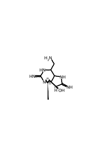 C[C@H]1CN2C(=N)NC(CN)C3NC(=N)NC32[C@@H]1O